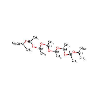 CO[SiH](C)O[SiH](C)O[SiH](C)O[SiH](C)O[SiH](C)O[SiH](C)O[SiH](C)O[SiH](C)OC